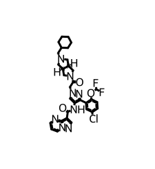 O=C(Nc1cn(CC(=O)N2C[C@H]3CN(CC4CCCCC4)C[C@H]3C2)nc1-c1cc(Cl)ccc1OC(F)F)c1cnn2cccnc12